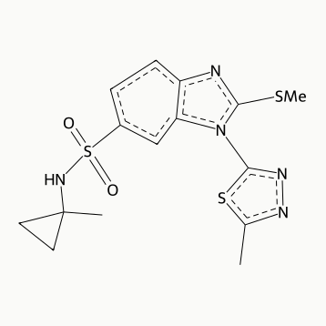 CSc1nc2ccc(S(=O)(=O)NC3(C)CC3)cc2n1-c1nnc(C)s1